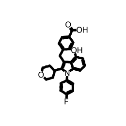 O=C(O)c1ccc(Cc2c(C3CCOCC3)n(-c3ccc(F)cc3)c3cccc(O)c23)cc1